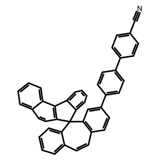 N#Cc1ccc(-c2ccc(-c3ccc4c(c3)C3(c5ccccc5C=C4)c4ccccc4-c4c3ccc3ccccc43)cc2)cc1